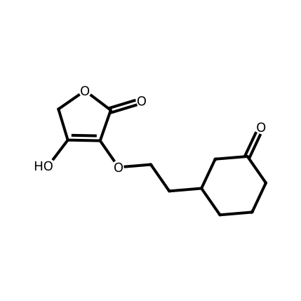 O=C1CCCC(CCOC2=C(O)COC2=O)C1